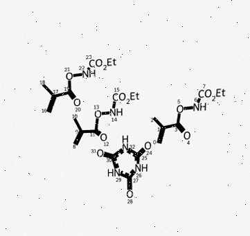 C=C(C)C(=O)ONC(=O)OCC.C=C(C)C(=O)ONC(=O)OCC.C=C(C)C(=O)ONC(=O)OCC.O=c1[nH]c(=O)[nH]c(=O)[nH]1